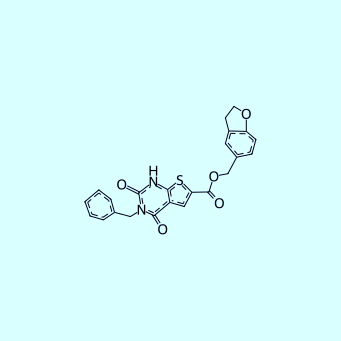 O=C(OCc1ccc2c(c1)CCO2)c1cc2c(=O)n(Cc3ccccc3)c(=O)[nH]c2s1